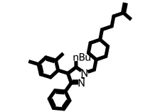 C=C(C)CCCC1CCC(CN2N=C(c3ccccc3)C(C3CC=C(C)C=C3C)C2CCCC)CC1